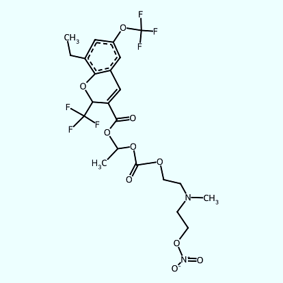 CCc1cc(OC(F)(F)F)cc2c1OC(C(F)(F)F)C(C(=O)OC(C)OC(=O)OCCN(C)CCO[N+](=O)[O-])=C2